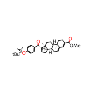 COC(=O)C1=CC2=CC[C@H]3[C@@H]4CC[C@H](C(=O)c5ccc(O[Si](C)(C)C(C)(C)C)cc5)[C@@]4(C)CC[C@@H]3[C@@]2(C)CC1